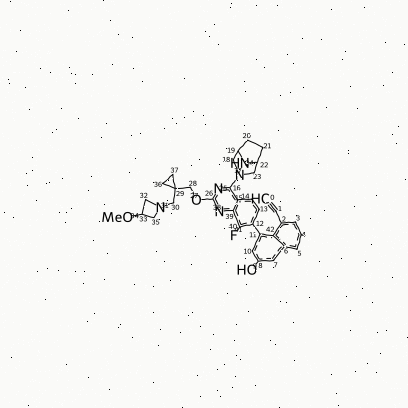 C#Cc1cccc2cc(O)cc(-c3ccc4c(N5CC6CCC(C5)N6)nc(OCC5(CN6CC(OC)C6)CC5)nc4c3F)c12